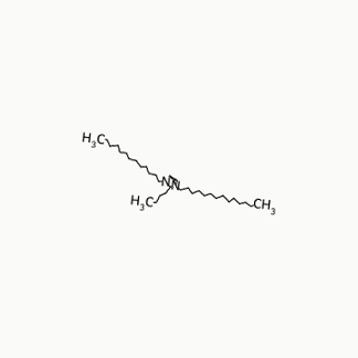 CCCCCCCCCCCCCCN1C=CN(CCCCCCCCCCCCC)C1CCCC